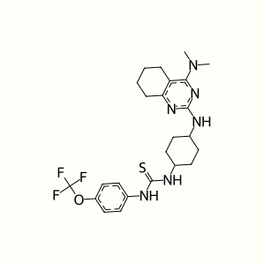 CN(C)c1nc(NC2CCC(NC(=S)Nc3ccc(OC(F)(F)F)cc3)CC2)nc2c1CCCC2